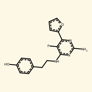 Nc1nc(NCCc2ccc(O)cc2)c(F)c(-c2ccco2)n1